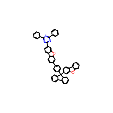 c1ccc(-c2nc(-c3ccccc3)nc(-c3ccc4c(c3)oc3cc(-c5ccc(C6(c7ccc8c(c7)oc7ccccc78)c7ccccc7-c7ccccc76)cc5)ccc34)n2)cc1